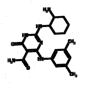 Cc1cc(C)cc(Nc2nc(NC3CCCCC3N)[nH]c(=O)c2C(N)=O)c1